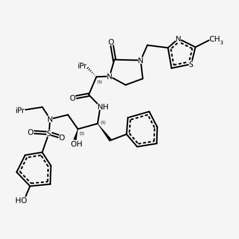 Cc1nc(CN2CCN([C@H](C(=O)N[C@@H](Cc3ccccc3)[C@@H](O)CN(CC(C)C)S(=O)(=O)c3ccc(O)cc3)C(C)C)C2=O)cs1